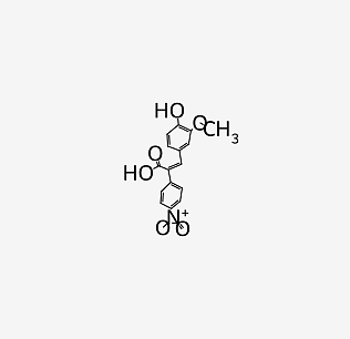 COc1cc(C=C(C(=O)O)c2ccc([N+](=O)[O-])cc2)ccc1O